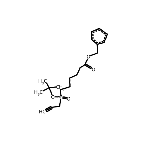 C#CCP(=O)(CCCCCC(=O)OCc1ccccc1)OC(C)(C)C